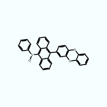 [O-][S+](c1ccccc1)c1c2ccccc2c(-c2ccc3c(c2)Oc2ccccc2O3)c2ccccc12